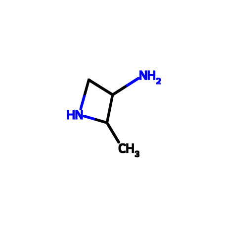 CC1NCC1N